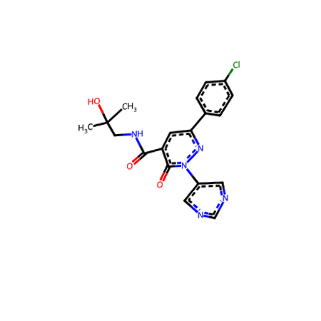 CC(C)(O)CNC(=O)c1cc(-c2ccc(Cl)cc2)nn(-c2cncnc2)c1=O